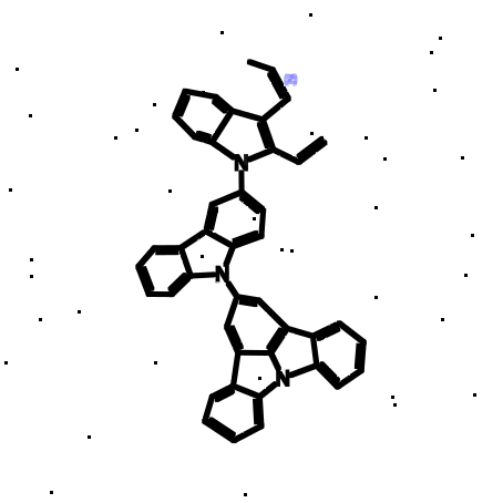 C=Cc1c(/C=C\C)c2ccccc2n1-c1ccc2c(c1)c1ccccc1n2-c1cc2c3ccccc3n3c4ccccc4c(c1)c23